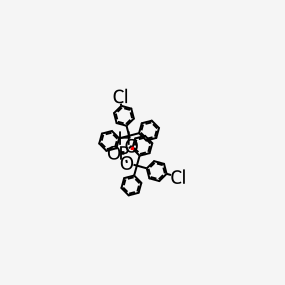 O=[PH](OC(c1ccccc1)(c1ccccc1)c1ccc(Cl)cc1)OC(c1ccccc1)(c1ccccc1)c1ccc(Cl)cc1